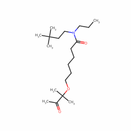 CCCN(CCC(C)(C)C)C(=O)CCCCCOC(C)(C)C(C)=O